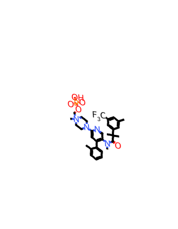 Cc1cc(C(F)(F)F)cc(C(C)(C)C(=O)N(C)c2cnc(N3CC[N+](C)(COP(=O)([O-])O)CC3)cc2-c2ccccc2C)c1